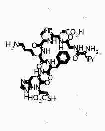 CC(C)C[C@H](NC(=O)[C@H](CC(=O)O)NC(=O)CNC(=O)[C@@H](N)C(C)C)C(=O)N[C@@H](CCCCN)C(=O)N[C@@H](Cc1ccccc1)C(=O)N[C@@H](Cc1c[nH]cn1)C(=O)N[C@@H](CS)C(=O)O